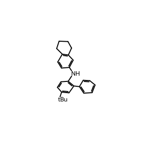 CC(C)(C)c1ccc(Nc2ccc3c(c2)CCCC3)c(-c2ccccc2)c1